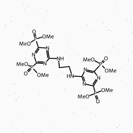 COP(=O)(OC)c1nc(NCCNc2nc(P(=O)(OC)OC)nc(P(=O)(OC)OC)n2)nc(P(=O)(OC)OC)n1